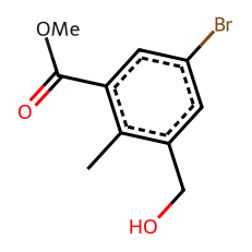 COC(=O)c1cc(Br)cc(CO)c1C